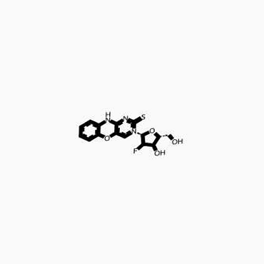 OC[C@H]1O[C@@H](n2cc3c(nc2=S)Nc2ccccc2O3)C(F)C1O